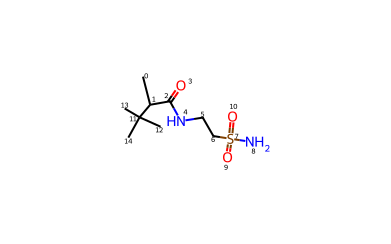 CC(C(=O)NCCS(N)(=O)=O)C(C)(C)C